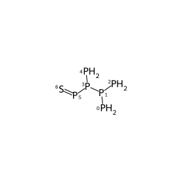 PP(P)P(P)P=S